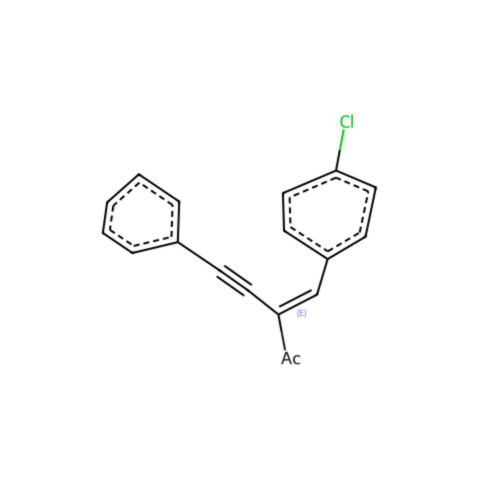 CC(=O)/C(C#Cc1ccccc1)=C/c1ccc(Cl)cc1